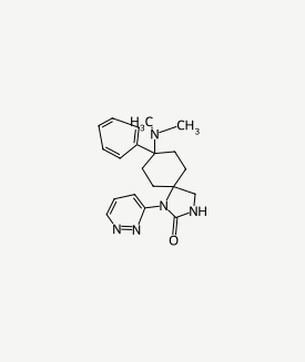 CN(C)C1(c2ccccc2)CCC2(CC1)CNC(=O)N2c1cccnn1